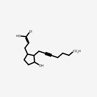 CCC(O)=CCC1CCC(O)C1CC#CCCCC(=O)O